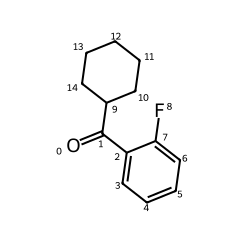 O=C(c1ccccc1F)C1CCCCC1